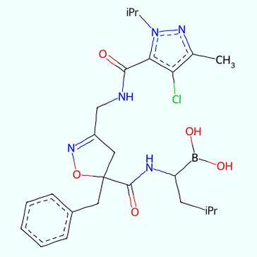 Cc1nn(C(C)C)c(C(=O)NCC2=NOC(Cc3ccccc3)(C(=O)NC(CC(C)C)B(O)O)C2)c1Cl